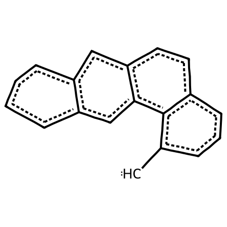 [CH]c1cccc2ccc3cc4ccccc4cc3c12